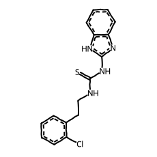 S=C(NCCc1ccccc1Cl)Nc1nc2ccccc2[nH]1